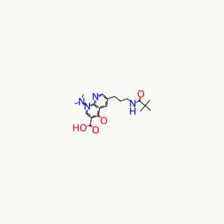 CN(C)n1cc(C(=O)O)c(=O)c2cc(CCCNC(=O)C(C)(C)C)cnc21